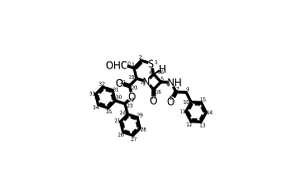 O=CC1=CS[C@@H]2C(NC(=O)Cc3ccccc3)C(=O)N2C1C(=O)OC(c1ccccc1)c1ccccc1